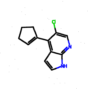 Clc1cnc2[nH]ccc2c1C1=CCCC1